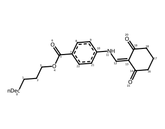 CCCCCCCCCCCCCOC(=O)c1ccc(NC=C2C(=O)CCCC2=O)cc1